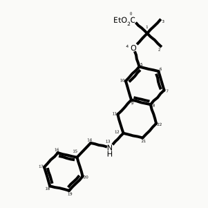 CCOC(=O)C(C)(C)Oc1ccc2c(c1)CC(NCc1ccccc1)CC2